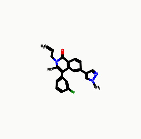 C=CCn1c(C#N)c(-c2cccc(F)c2)c2cc(-c3cnn(C)c3)ccc2c1=O